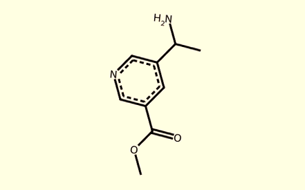 COC(=O)c1cncc(C(C)N)c1